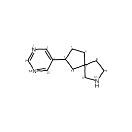 c1ncc(C2CCC3(CCNC3)C2)cn1